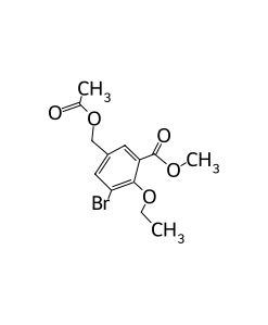 CCOc1c(Br)cc(COC(C)=O)cc1C(=O)OC